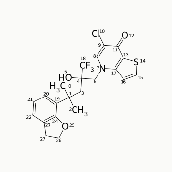 CC(C)(CC(O)(Cn1cc(Cl)c(=O)c2sccc21)C(F)(F)F)c1cccc2c1OCC2